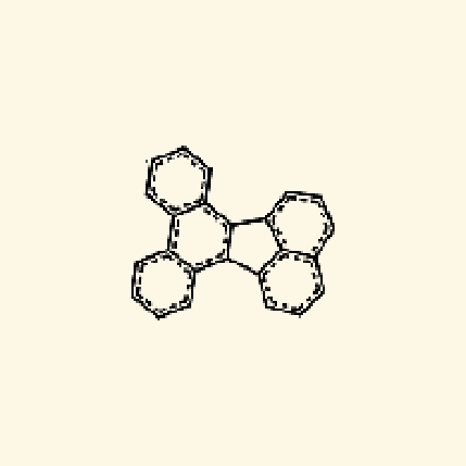 [c]1ccc2c3c(c4ccccc4c2c1)-c1cccc2cccc-3c12